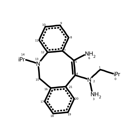 CC(C)CN(N)/C1=C(\N)c2ccccc2N(C(C)C)Cc2ccccc21